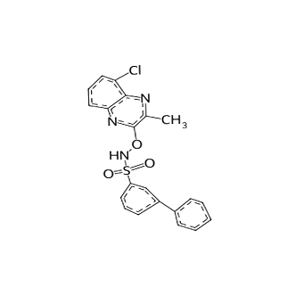 Cc1nc2c(Cl)cccc2nc1ONS(=O)(=O)c1cccc(-c2ccccc2)c1